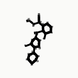 Cc1cc(Nc2c(C)cccc2C(=O)OC(C)(C)C)cnc1-c1ccccc1